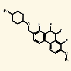 CCCC1CCC(OCc2ccc3c(c2F)C(F)C(F)c2c-3ccc(OCC)c2F)CC1